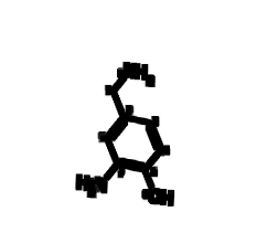 NCc1c[c]c(O)c(N)c1